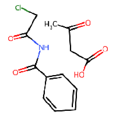 CC(=O)CC(=O)O.O=C(CCl)NC(=O)c1ccccc1